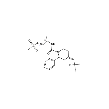 C[C@@H](/C=C/S(C)(=O)=O)NC(=O)N1CCC(=CC(F)(F)F)CC1c1ccccc1